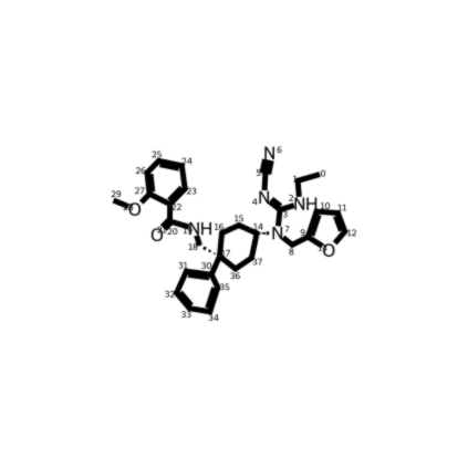 CCNC(=NC#N)N(Cc1ccco1)[C@H]1CC[C@](CNC(=O)c2ccccc2OC)(c2ccccc2)CC1